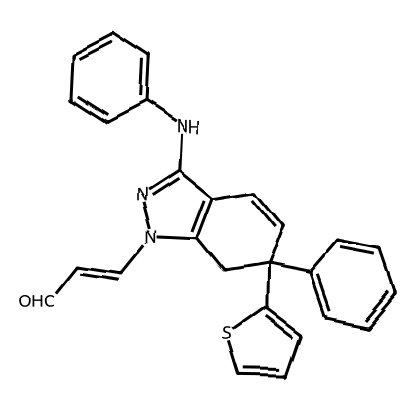 O=CC=Cn1nc(Nc2ccccc2)c2c1CC(c1ccccc1)(c1cccs1)C=C2